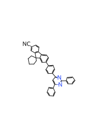 N#Cc1ccc2c(c1)C1(CCCCC1)c1cc(-c3ccc(-c4cc(-c5ccccc5)nc(-c5ccccc5)n4)cc3)ccc1-2